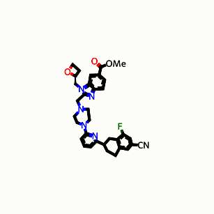 COC(=O)c1ccc2nc(CN3CCN(c4cccc(C5CCc6cc(C#N)cc(F)c6C5)n4)CC3)n(C[C@@H]3CCO3)c2c1